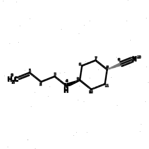 C=CCCN[C@H]1CC[C@H](C#N)CC1